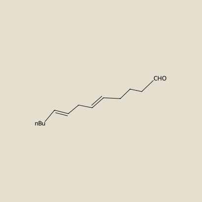 CCCCC=CCC=CCCCC=O